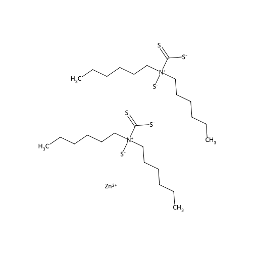 CCCCCC[N+]([S-])(CCCCCC)C(=S)[S-].CCCCCC[N+]([S-])(CCCCCC)C(=S)[S-].[Zn+2]